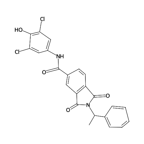 CC(c1ccccc1)N1C(=O)c2ccc(C(=O)Nc3cc(Cl)c(O)c(Cl)c3)cc2C1=O